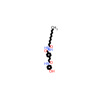 CCCCCCCCCCCC(=O)NNC(=O)c1ccc(CCC(=O)Nc2ccc(O)cc2)cc1